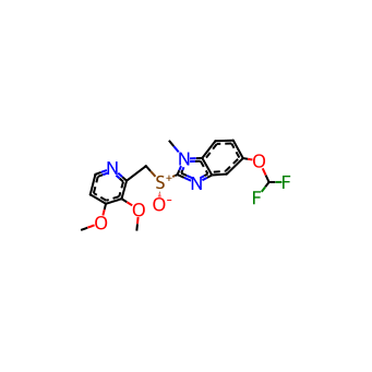 COc1ccnc(C[S@@+]([O-])c2nc3cc(OC(F)F)ccc3n2C)c1OC